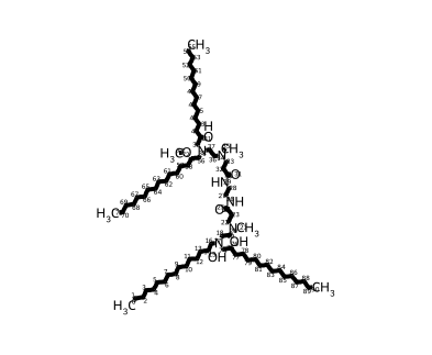 CCCCCCCCCCCCCCC(O)CN(CCN(C)CCC(=O)NCCNC(=O)CCN(C)CCN(CC(O)CCCCCCCCCCCCCC)CC(CCCCCCCCCCCCCC)OC)CC(O)CCCCCCCCCCCCCC